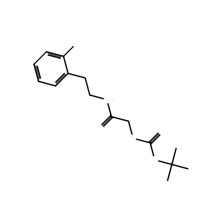 CC(C)(C)OC(=O)NCC(=O)NCCc1ccccc1F